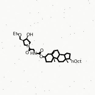 CCCCCCCC[C@@H]1CCC2C3CC=C4CC(OC(=O)NCC(=O)N5C[C@@H](COCC)[C@@H](O)C5)CC[C@@]4(C)C3CC[C@]21C